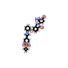 O=C1CCC(N2Cc3cc(O[C@H]4CCCC[C@@H]4N4CC(C5CCN(S(=O)(=O)C6CCC6)CC5)C4)ccc3C2=O)C(=O)N1